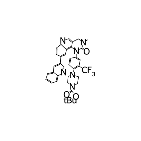 CN1Cc2cnc3ccc(-c4cnc5ccccc5c4)cc3c2N(c2ccc(N3CCN(C(=O)OC(C)(C)C)CC3)c(C(F)(F)F)c2)C1=O